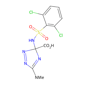 CNC1=NC(NS(=O)(=O)c2c(Cl)cccc2Cl)(C(=O)O)N=N1